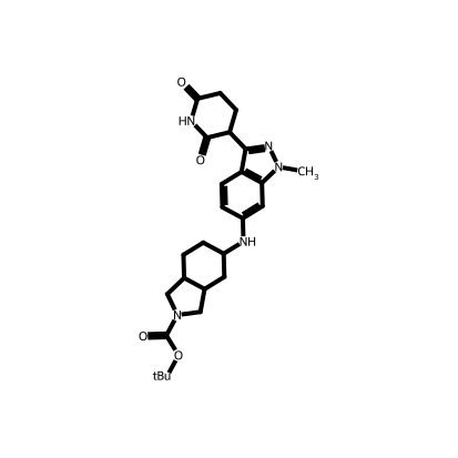 Cn1nc(C2CCC(=O)NC2=O)c2ccc(NC3CCC4CN(C(=O)OC(C)(C)C)CC4C3)cc21